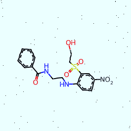 O=C(NCCNc1ccc([N+](=O)[O-])cc1S(=O)(=O)CCO)c1ccccc1